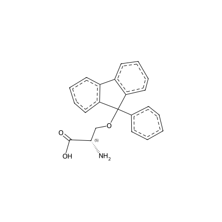 N[C@@H](COC1(c2ccccc2)c2ccccc2-c2ccccc21)C(=O)O